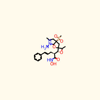 CCCC(CC1(C)C(C)O[C@@H]1[C@H](C/C=C/c1ccccc1)C(=O)NO)(C(=O)NN)S(C)(=O)=O